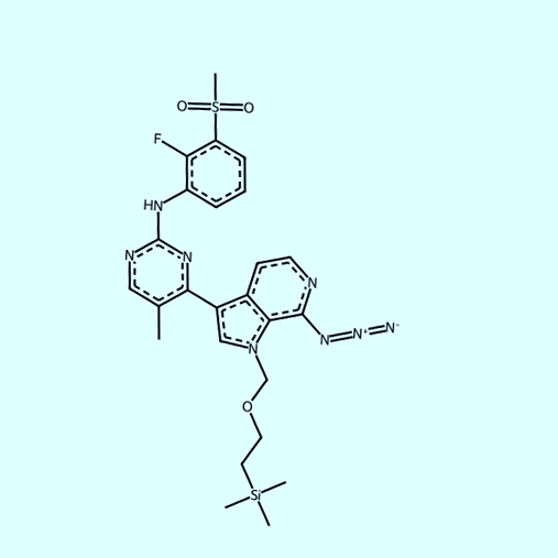 Cc1cnc(Nc2cccc(S(C)(=O)=O)c2F)nc1-c1cn(COCC[Si](C)(C)C)c2c(N=[N+]=[N-])nccc12